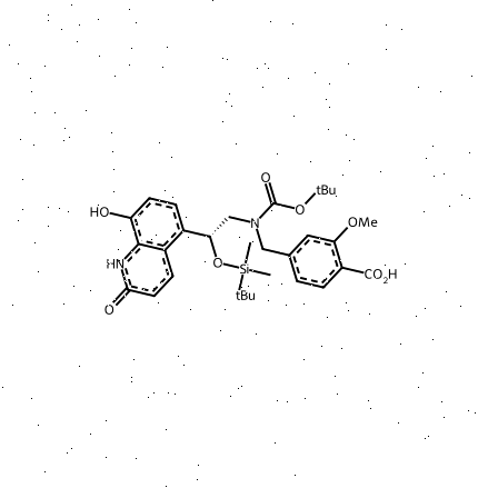 COc1cc(CN(C[C@H](O[Si](C)(C)C(C)(C)C)c2ccc(O)c3[nH]c(=O)ccc23)C(=O)OC(C)(C)C)ccc1C(=O)O